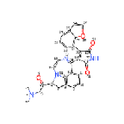 CN(C)CC(=O)C1Cc2cccc3c2N1C=CN=C3C1=C(c2cccc3ccoc23)C(=O)NC1=O